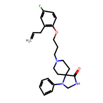 C=CCc1cc(F)ccc1OCCCN1CCC2(CC1)C(=O)NCN2c1ccccc1